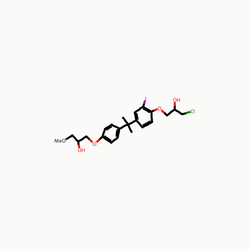 COCC(O)COc1ccc(C(C)(C)c2ccc(OCC(O)CCl)c(I)c2)cc1